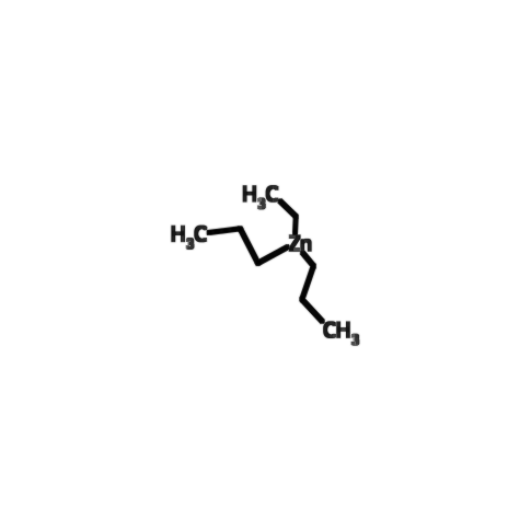 CC[CH2][Zn]([CH2]C)[CH2]CC